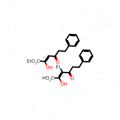 CC/C(C(=O)CCc1ccccc1)=C(/O)C(=O)O.CCOC(=O)/C(O)=C/C(=O)CCc1ccccc1